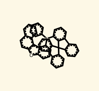 c1ccc(N(c2cccc3c2C2(c4ccccc4-c4ccccc42)c2ccccc2-3)c2cccc3oc4ccc5ccccc5c4c23)cc1